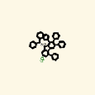 C1=CCC(c2c(-c3ccccc3)c(-c3ccccc3)cc3c2[CH]([Zr+2]=[C](c2ccccc2)c2ccccc2)c2cccc(-c4ccccc4)c2-3)=C1.[Cl-].[Cl-]